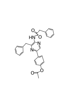 CC(=O)Oc1ccc(-c2cnc(NS(=O)(=O)Cc3ccccc3)c(Cc3ccccc3)n2)cc1